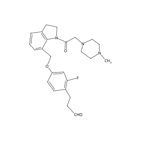 CN1CCN(CC(=O)N2CCc3cccc(COc4ccc(CCC=O)c(F)c4)c32)CC1